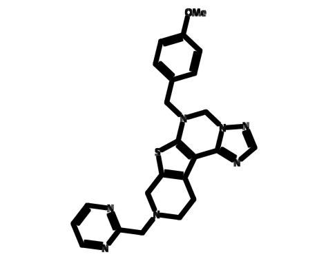 COc1ccc(CN2Cn3ncnc3-c3c2sc2c3CCN(Cc3ncccn3)C2)cc1